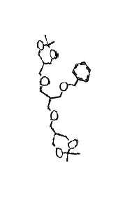 CC1(C)OCC(COCC(COCc2ccccc2)COCC2COC(C)(C)OC2)CO1